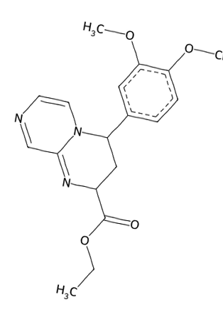 CCOC(=O)C1CC(c2ccc(OC)c(OC)c2)N2C=CN=CC2=N1